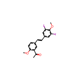 COc1ccc(C=Cc2cc(I)c(OC)c(I)c2)cc1C(C)=O